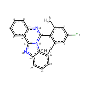 Cc1cc(F)cc(C)c1-c1nc2ccccc2c2nc3ccccc3n12